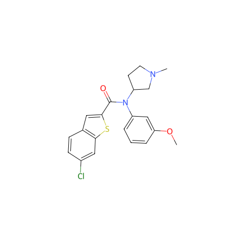 COc1cccc(N(C(=O)c2cc3ccc(Cl)cc3s2)C2CCN(C)C2)c1